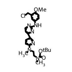 COc1ccc(Nc2nccc(-c3ccc(N(C)CCN(C)C(=O)OC(C)(C)C)nc3)n2)cc1CCl